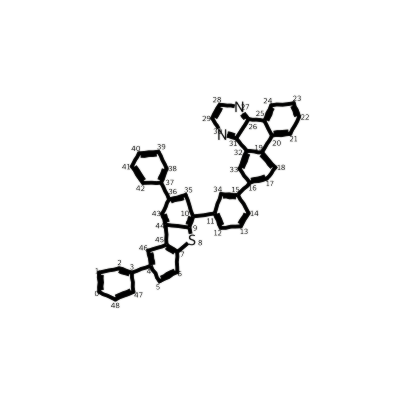 c1ccc(-c2ccc3sc4c(-c5cccc(-c6ccc7c8ccccc8c8nccnc8c7c6)c5)cc(-c5ccccc5)cc4c3c2)cc1